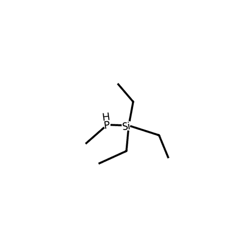 CC[Si](CC)(CC)PC